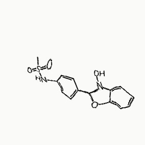 CS(=O)(=O)Nc1ccc(C2Oc3ccccc3N2O)cc1